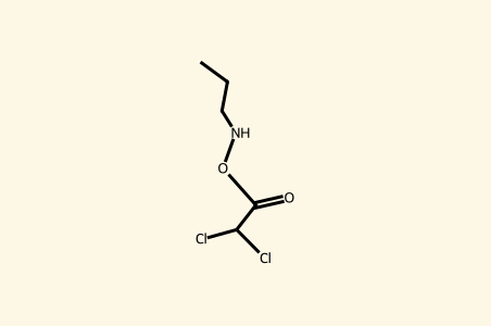 CCCNOC(=O)C(Cl)Cl